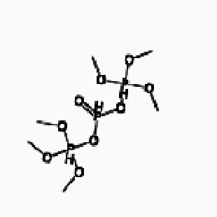 CO[PH](OC)(OC)O[PH](=O)O[PH](OC)(OC)OC